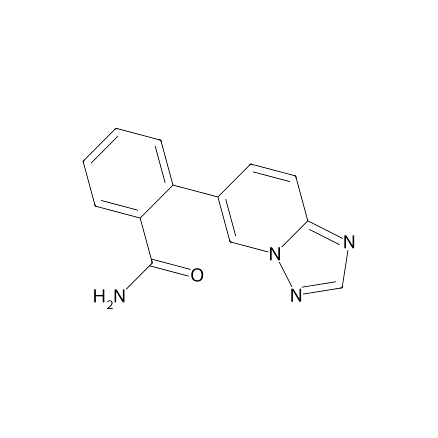 NC(=O)c1ccccc1-c1ccc2ncnn2c1